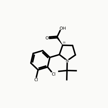 CC(C)(C)N1CC[C@H](C(=O)O)C1c1cccc(Cl)c1Cl